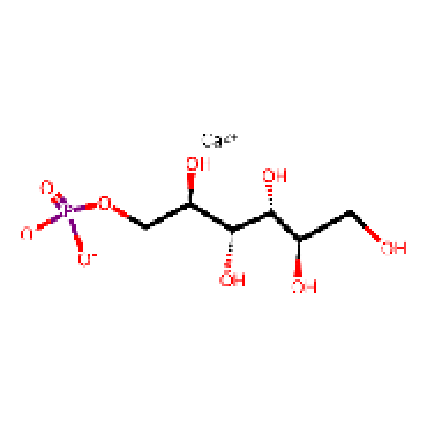 O=P([O-])([O-])OC[C@@H](O)[C@@H](O)[C@H](O)[C@H](O)CO.[Ca+2]